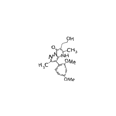 COc1ccc(-c2c(C)nn3c(=O)c(CCO)c(C)[nH]c23)c(OC)c1